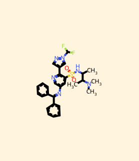 CC(NS(=O)(=O)c1cc(N=C(c2ccccc2)c2ccccc2)cnc1-c1cnn(C(F)F)c1)C(C)N(C)C